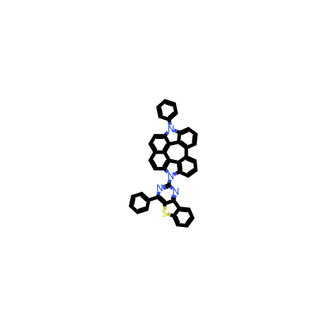 c1ccc(-c2nc(-n3c4cccc5c4c4c6c(ccc7c6c6c-5cccc6n7-c5ccccc5)ccc43)nc3c2sc2ccccc23)cc1